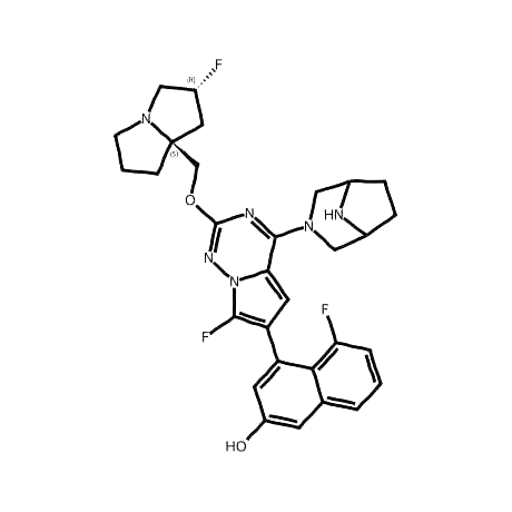 Oc1cc(-c2cc3c(N4CC5CCC(C4)N5)nc(OC[C@@]45CCCN4C[C@H](F)C5)nn3c2F)c2c(F)cccc2c1